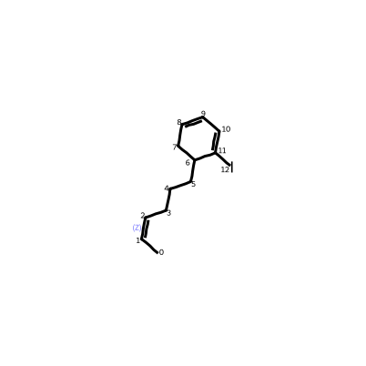 C/C=C\CCCC1CC=CC=C1I